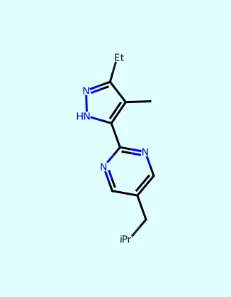 CCc1n[nH]c(-c2ncc(CC(C)C)cn2)c1C